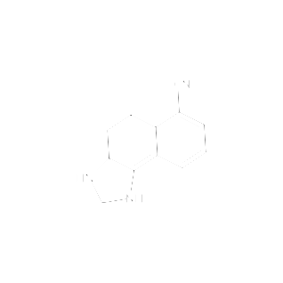 N#CC1=CC=CC2=C3NCNC3CCC12